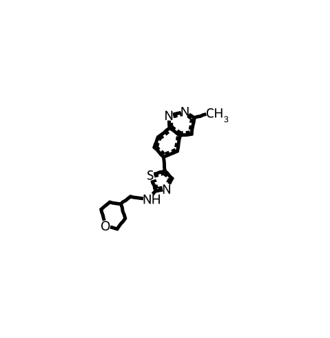 Cc1cc2cc(-c3cnc(NCC4CCOCC4)s3)ccc2nn1